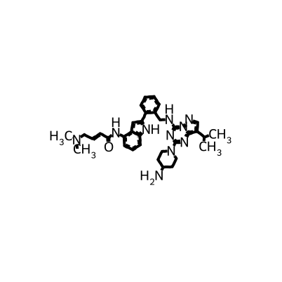 CC(C)c1cnn2c(NCc3ccccc3-c3cc4c(NC(=O)/C=C/CN(C)C)cccc4[nH]3)nc(N3CCC(N)CC3)nc12